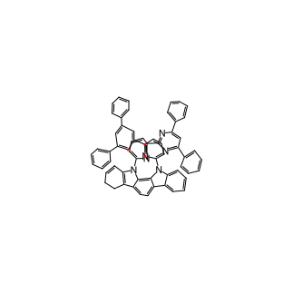 C1=Cc2c(c3ccc4c5ccccc5n(-c5cccc(-c6cc(-c7ccccc7)cc(-c7ccccc7)c6)n5)c4c3n2-c2cccc(-c3nc(-c4ccccc4)cc(-c4ccccc4)n3)n2)CC1